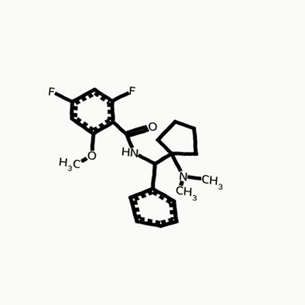 COc1cc(F)cc(F)c1C(=O)NC(c1ccccc1)C1(N(C)C)CCCC1